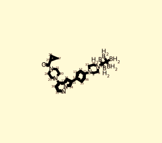 BC(B)(B)C(B)(B)N1CCN(c2ccc(-c3cc4c(N5CCN(C(=O)C6CC6)CC5)ccnn4c3)cc2)CC1